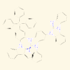 c1ccc([Si](c2ccccc2)(c2ccccc2)c2ccc(-n3c4ccccc4c4ccccc43)c(-n3c4ccc(-n5c6ccccc6n6c7ccccc7nc56)cc4n4c5ccccc5nc34)c2)cc1